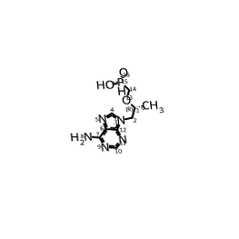 C[C@H](Cn1cnc2c(N)ncnc21)OC[PH](=O)O